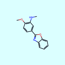 CNc1cc(-c2nc3ccccc3o2)ccc1OC